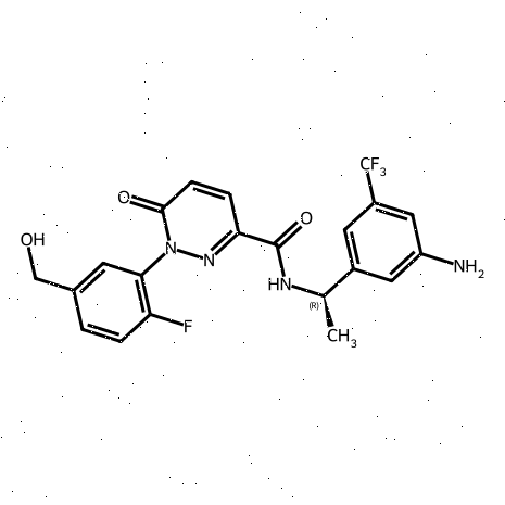 C[C@@H](NC(=O)c1ccc(=O)n(-c2cc(CO)ccc2F)n1)c1cc(N)cc(C(F)(F)F)c1